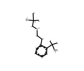 CCCC(C)(C)c1ccccc1CCSCC(C)(C)CC